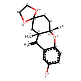 C=C1c2cc(Br)ccc2O[C@H]2CCC3(C[C@@]12C)OCCO3